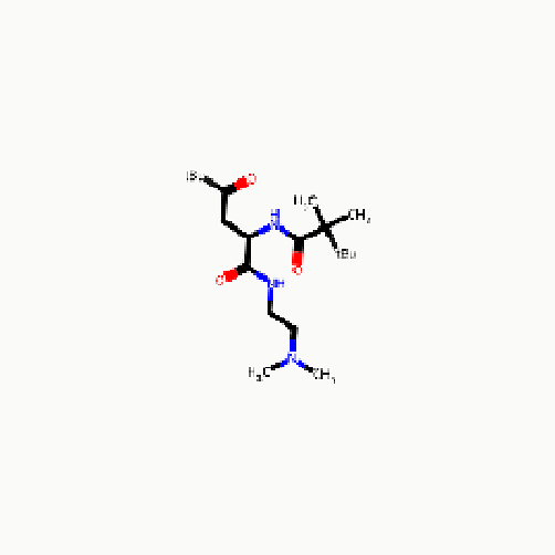 CN(C)CCNC(=O)C(CC(=O)C(C)(C)C)NC(=O)C(C)(C)C(C)(C)C